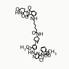 COc1cc(N2CCC(NC(=O)CCCCCNc3cccc4c3C(=O)N(C3CCC(=O)NC3=O)C4=O)CC2)ccc1Nc1ncc(Cl)c(Nc2ccccc2P(C)(C)=O)n1